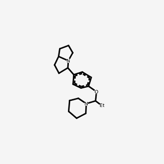 CCC(Oc1ccc(C2CCC3CCCN32)cc1)N1CCCCC1